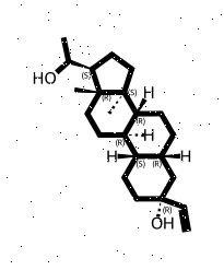 C=C[C@@]1(O)CC[C@H]2[C@H](CC[C@@H]3[C@@H]2CC[C@]2(C)[C@@H](C(C)O)CC[C@@]32C)C1